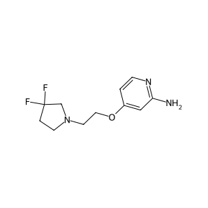 Nc1cc(OCCN2CCC(F)(F)C2)ccn1